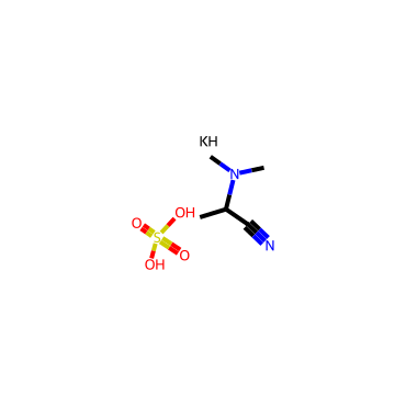 CC(C#N)N(C)C.O=S(=O)(O)O.[KH]